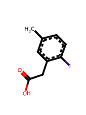 Cc1ccc(I)c(CC(=O)O)c1